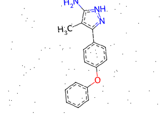 Cc1c(-c2ccc(Oc3ccccc3)cc2)n[nH]c1N